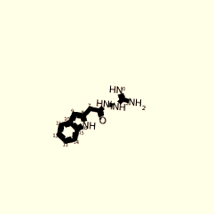 N=C(N)NNC(=O)Cc1cc2ccccc2[nH]1